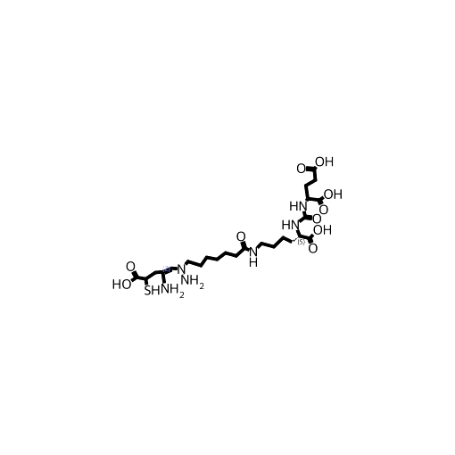 N/C(=C\N(N)CCCCCCC(=O)NCCCC[C@H](NC(=O)NC(CCC(=O)O)C(=O)O)C(=O)O)CC(S)C(=O)O